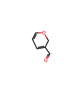 O=[C]C1=CC=COC1